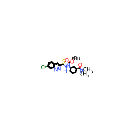 CN(C)C(=O)[C@H]1CCCC(N(NC(=S)c2cc3ccc(Cl)cc3nn2)C(=O)OC(C)(C)C)C1